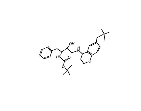 CC(C)(C)Cc1ccc2c(c1)C(NCC(O)C(Cc1ccccc1)NC(=O)OC(C)(C)C)CCO2